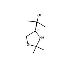 CC1(C)N[C@H](C(C)(C)O)CO1